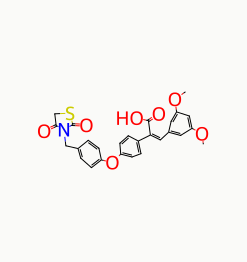 COc1cc(C=C(C(=O)O)c2ccc(Oc3ccc(CN4C(=O)CSC4=O)cc3)cc2)cc(OC)c1